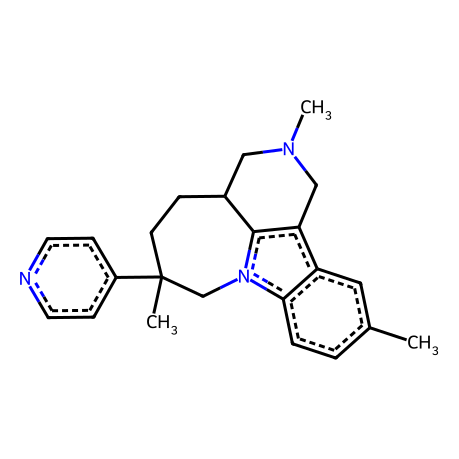 Cc1ccc2c(c1)c1c3n2CC(C)(c2ccncc2)CCC3CN(C)C1